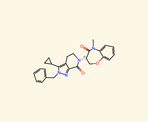 CN1C(=O)[C@@H](N2CCc3c(nn(Cc4ccccc4)c3C3CC3)C2=O)COc2ccccc21